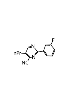 CCCc1cnc(-c2cccc(F)c2)nc1C#N